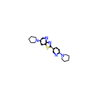 c1cc(N2CCCCC2)ncc1-c1nc2ncc(N3CCCCC3)cc2s1